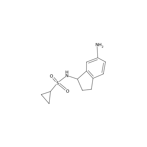 Nc1ccc2c(c1)C(NS(=O)(=O)C1CC1)CC2